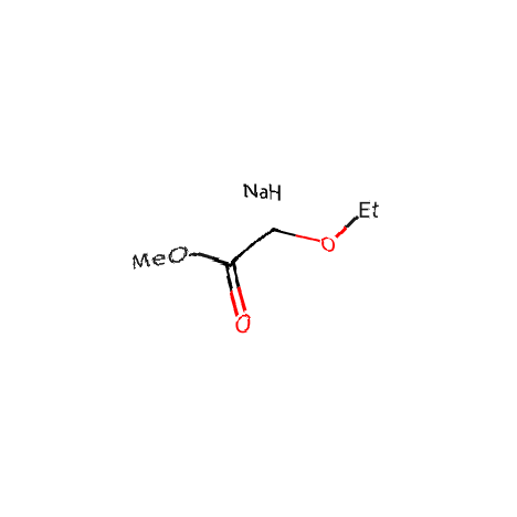 CCOCC(=O)OC.[NaH]